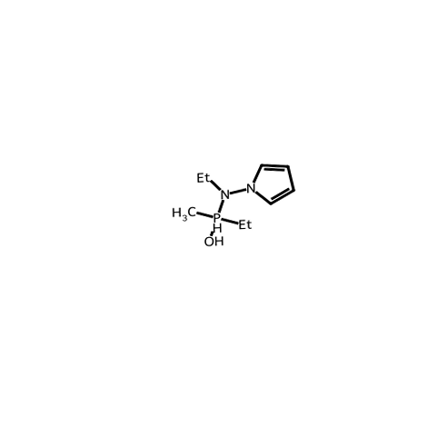 CCN(n1cccc1)[PH](C)(O)CC